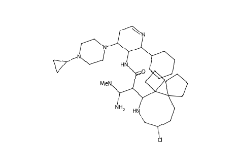 CNC(N)C(C(=O)NC1C(C2CCCCC2)N=CCC1N1CCN(C2CC2)CC1)C1NCC(Cl)CCC2(CCCC2)C12CCC2